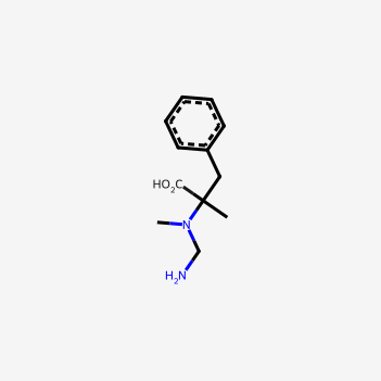 CN(CN)C(C)(Cc1ccccc1)C(=O)O